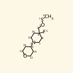 CSOCC1(F)CCN(C2CCOCC2)CC1